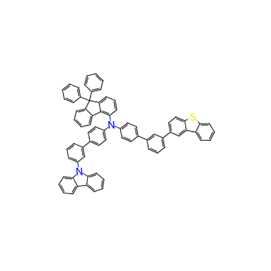 c1ccc(C2(c3ccccc3)c3ccccc3-c3c(N(c4ccc(-c5cccc(-c6ccc7sc8ccccc8c7c6)c5)cc4)c4ccc(-c5cccc(-n6c7ccccc7c7ccccc76)c5)cc4)cccc32)cc1